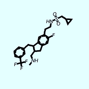 CNCC1Cc2cc(F)c(CCNS(=O)(=O)CC3CC3)cc2C1Cc1cccc(C(F)(F)F)c1